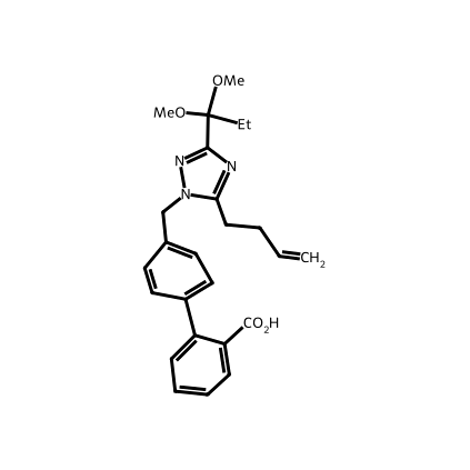 C=CCCc1nc(C(CC)(OC)OC)nn1Cc1ccc(-c2ccccc2C(=O)O)cc1